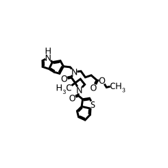 CCOC(=O)CCCN(Cc1ccc2cc[nH]c2c1)C(=O)C1(C)CCN1C(=O)c1csc2ccccc12